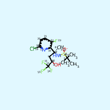 CC(C)(C)[S@@+]([O-])N[C@@](C)(C[C@@H](O)C(F)(F)F)c1nc(Cl)ccc1F